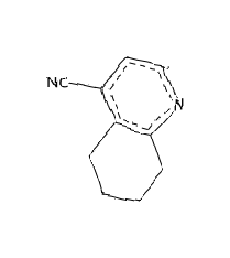 N#Cc1c[c]nc2c1CCCC2